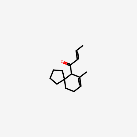 CC=CC(=O)C1C(C)=CCCC12CCCC2